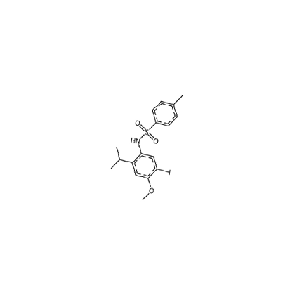 COc1cc(C(C)C)c(NS(=O)(=O)c2ccc(C)cc2)cc1I